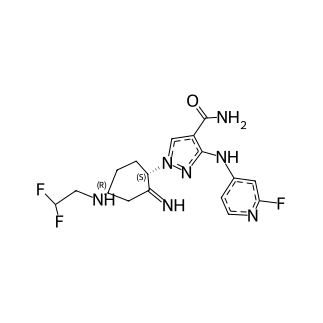 N=C1C[C@H](NCC(F)F)CC[C@@H]1n1cc(C(N)=O)c(Nc2ccnc(F)c2)n1